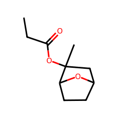 CCC(=O)OC1(C)CC2CCC1O2